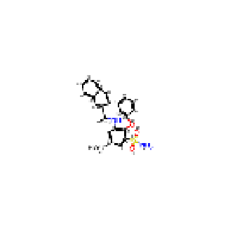 CC(Nc1cc(C(=O)O)cc(S(N)(=O)=O)c1Oc1ccccc1)c1ccc2ccccc2c1